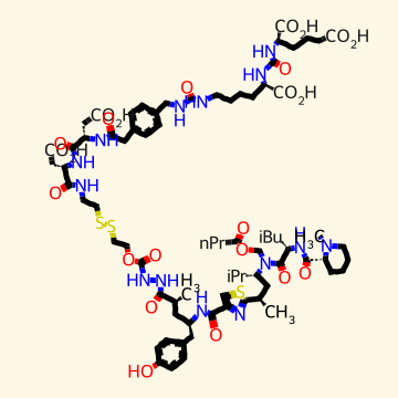 CCCC(=O)OCN(C(=O)[C@@H](NC(=O)[C@H]1CCCCN1C)C(C)CC)[C@H](C[C@@H](C)c1nc(C(=O)N[C@@H](Cc2ccc(O)cc2)C[C@H](C)C(=O)NNC(=O)OCCSSCCNC(=O)[C@H](CC(=O)O)NC(=O)[C@H](CC(=O)O)NC(=O)Cc2ccc(CNC(=O)NCCCC[C@@H](NC(=O)N[C@H](CCCC(=O)O)C(=O)O)C(=O)O)cc2)cs1)C(C)C